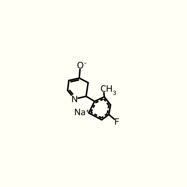 Cc1cc(F)ccc1C1CC([O-])=CC=N1.[Na+]